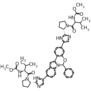 COC(=O)NC(C(=O)N1CCC[C@H]1c1ncc(-c2ccc3c(c2)OC(c2ccccc2)n2c-3cc3cc(-c4cnc([C@@H]5CCCN5C(=O)[C@@H](NC(=O)OC)C(C)C)[nH]4)ccc32)[nH]1)C(C)C